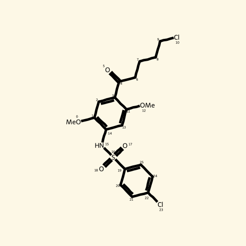 COc1cc(C(=O)CCCCCl)c(OC)cc1NS(=O)(=O)c1ccc(Cl)cc1